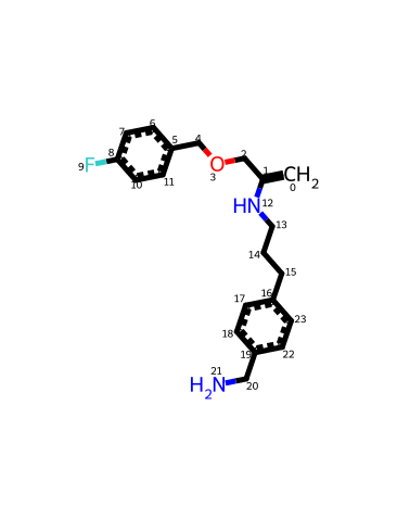 C=C(COCc1ccc(F)cc1)NCCCc1ccc(CN)cc1